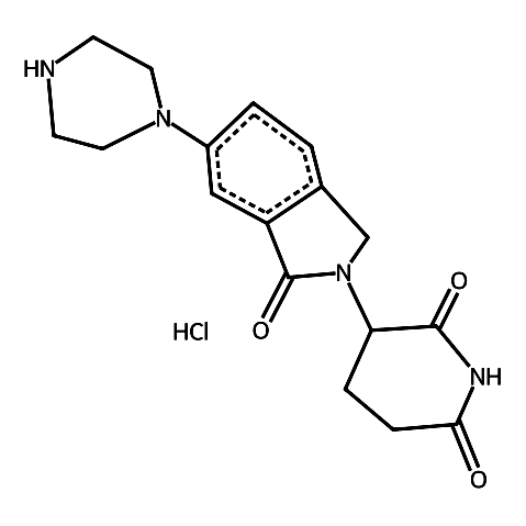 Cl.O=C1CCC(N2Cc3ccc(N4CCNCC4)cc3C2=O)C(=O)N1